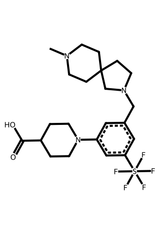 CN1CCC2(CC1)CCN(Cc1cc(N3CCC(C(=O)O)CC3)cc(S(F)(F)(F)(F)F)c1)C2